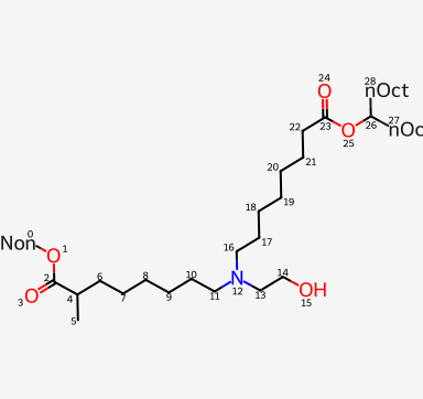 CCCCCCCCCOC(=O)C(C)CCCCCCN(CCO)CCCCCCCC(=O)OC(CCCCCCCC)CCCCCCCC